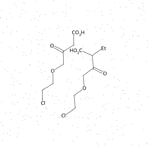 CCC(C(=O)O)C(=O)COCCCl.O=C(O)CC(=O)COCCCl